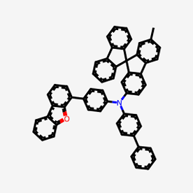 Cc1ccc2c(c1)C1(c3ccccc3-c3ccccc31)c1cc(N(c3ccc(-c4ccccc4)cc3)c3ccc(-c4cccc5c4oc4ccccc45)cc3)ccc1-2